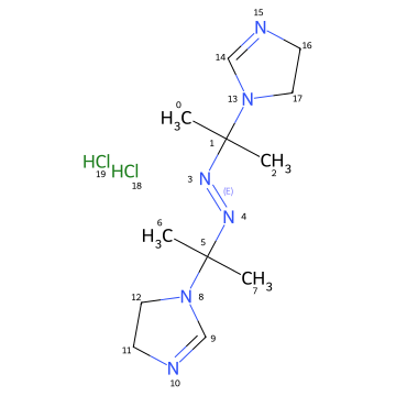 CC(C)(/N=N/C(C)(C)N1C=NCC1)N1C=NCC1.Cl.Cl